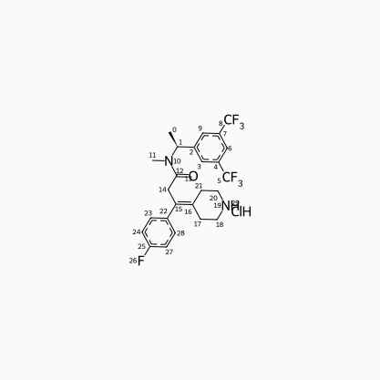 C[C@@H](c1cc(C(F)(F)F)cc(C(F)(F)F)c1)N(C)C(=O)CC(=C1CCNCC1)c1ccc(F)cc1.Cl